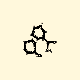 N#Cc1cc[c]cc1.NC(=O)c1cccnc1